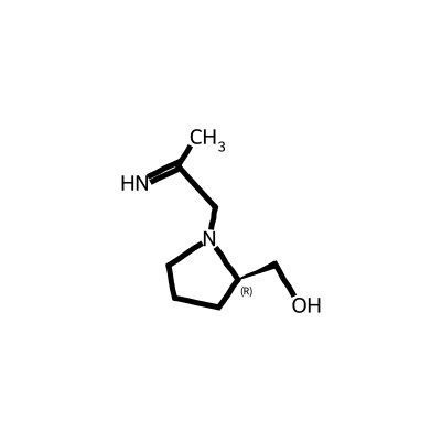 CC(=N)CN1CCC[C@@H]1CO